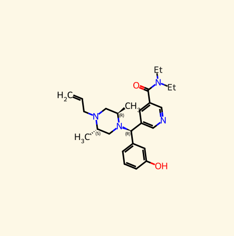 C=CCN1C[C@@H](C)N([C@H](c2cccc(O)c2)c2cncc(C(=O)N(CC)CC)c2)C[C@@H]1C